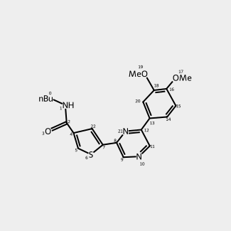 CCCCNC(=O)c1csc(-c2cncc(-c3ccc(OC)c(OC)c3)n2)c1